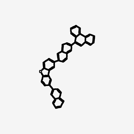 c1ccc2cc(-c3ccc4oc5ccc(-c6ccc7cc(-c8cc9ccccc9c9ccccc89)ccc7c6)cc5c4c3)ccc2c1